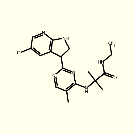 Cc1cnc(C2CNc3ncc(Cl)cc32)nc1NC(C)(C)C(=O)NCC(F)(F)F